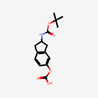 CC(C)(C)OC(=O)NC1Cc2ccc(OC(=O)O)cc2C1